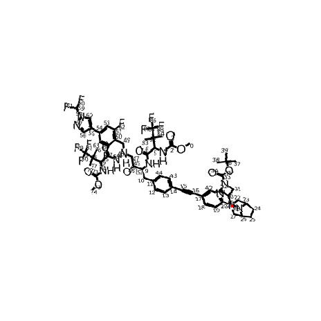 COC(=O)NC(C(=O)N[C@@H](Cc1ccc(C#Cc2ccc(N3CC4CCC(C3)N4CC3CN(C(=O)OC(C)(C)C)C3)nc2)cc1)[C@@H](O)CN(Cc1c(F)cc(-c2cnn(C(F)F)c2)cc1F)NC(=O)C(NC(=O)OC)C(C)(C)C(F)(F)F)C(C)(C)C(F)(F)F